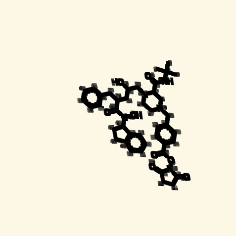 CC(C)(C)NC(=O)C1CN(Cc2ccc(C(=O)ON3C(=O)CCC3=O)cc2)CCN1CC(O)CC(Cc1ccccc1)C(=O)N(O)C1CCc2ccccc21